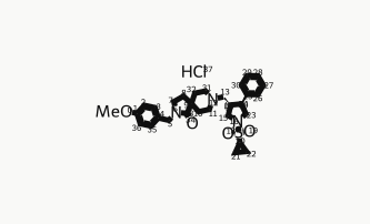 COc1ccc(CN2CCC3(CCN(C[C@H]4CN(S(=O)(=O)C5CC5)C[C@@H]4c4ccccc4)CC3)C2=O)cc1.Cl